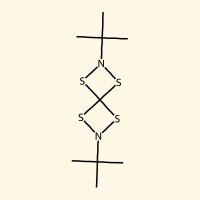 CC(C)(C)N1SC2(S1)SN(C(C)(C)C)S2